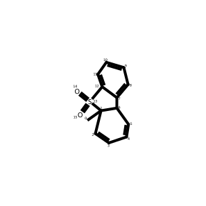 CC12C=CC=CC1c1ccccc1S2(=O)=O